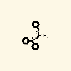 C[C@@H](CO[C](c1ccccc1)c1ccccc1)OCc1ccccc1